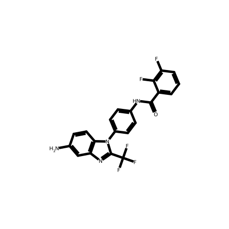 Nc1ccc2c(c1)nc(C(F)(F)F)n2-c1ccc(NC(=O)c2cccc(F)c2F)cc1